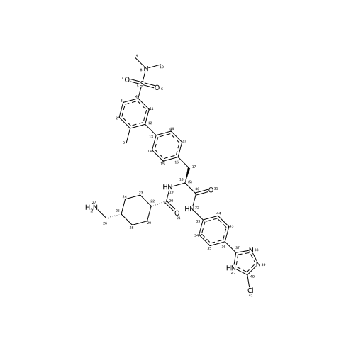 Cc1ccc(S(=O)(=O)N(C)C)cc1-c1ccc(C[C@H](NC(=O)[C@H]2CC[C@@H](CN)CC2)C(=O)Nc2ccc(-c3nnc(Cl)[nH]3)cc2)cc1